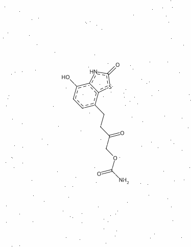 NC(=O)OCC(=O)CCc1ccc(O)c2[nH]c(=O)sc12